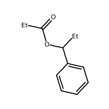 C[CH]C(=O)OC(CC)c1ccccc1